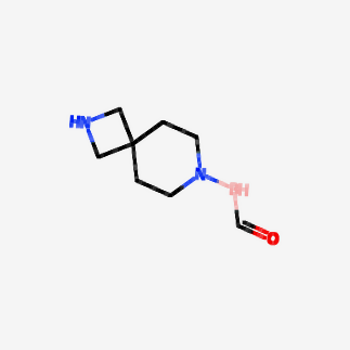 O=CBN1CCC2(CC1)CNC2